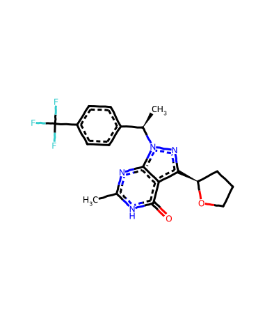 Cc1nc2c(c([C@H]3CCCO3)nn2[C@H](C)c2ccc(C(F)(F)F)cc2)c(=O)[nH]1